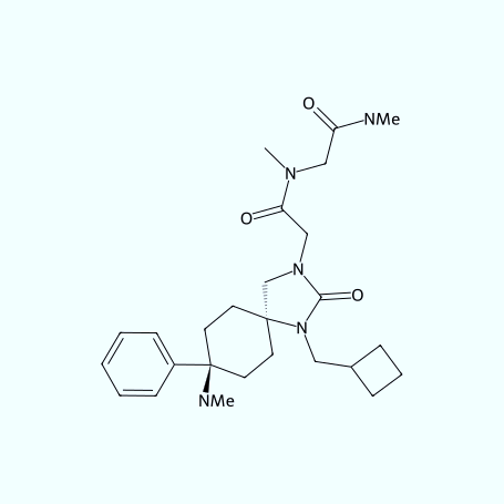 CNC(=O)CN(C)C(=O)CN1C[C@]2(CC[C@@](NC)(c3ccccc3)CC2)N(CC2CCC2)C1=O